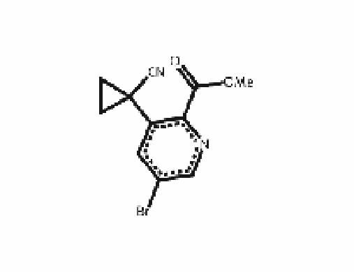 COC(=O)c1ncc(Br)cc1C1(C#N)CC1